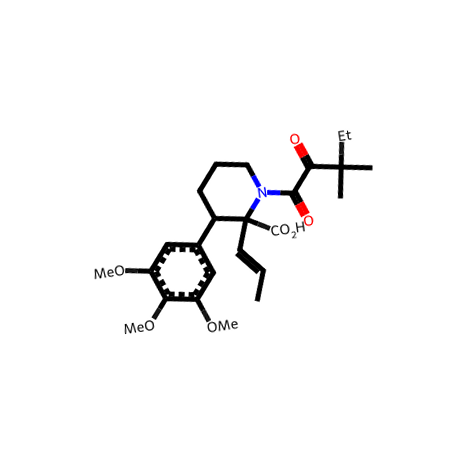 CC=CC1(C(=O)O)C(c2cc(OC)c(OC)c(OC)c2)CCCN1C(=O)C(=O)C(C)(C)CC